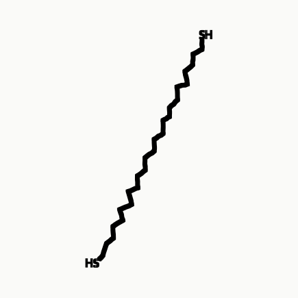 SCCCCCCCCCCCCCCCCCCCCCCCCCS